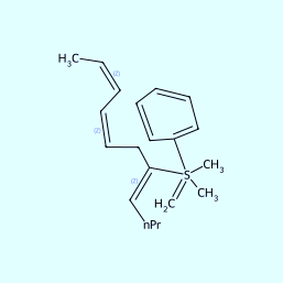 C=S(C)(C)(/C(=C\CCC)C/C=C\C=C/C)c1ccccc1